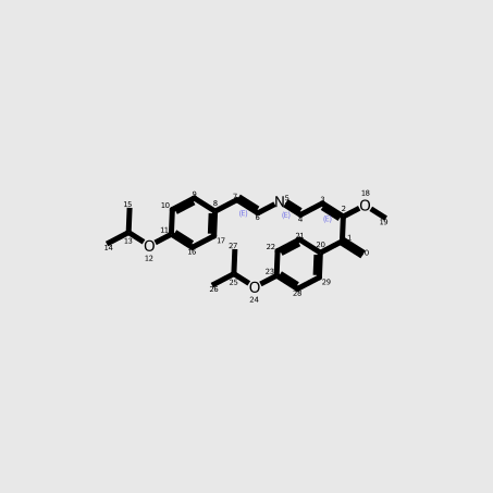 C=C(\C(=C/C=N/C=C/c1ccc(OC(C)C)cc1)OC)c1ccc(OC(C)C)cc1